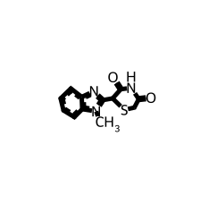 Cn1c(C2SCC(=O)NC2=O)nc2ccccc21